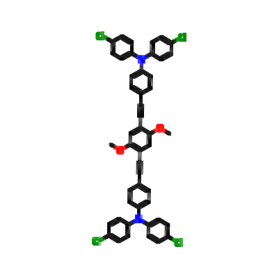 COc1cc(C#Cc2ccc(N(c3ccc(Cl)cc3)c3ccc(Cl)cc3)cc2)c(OC)cc1C#Cc1ccc(N(c2ccc(Cl)cc2)c2ccc(Cl)cc2)cc1